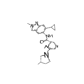 CC1CCN(c2cncc(C(=O)Nc3cc4cn(C)nc4cc3C3CC3)n2)C1